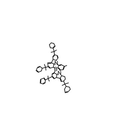 Cc1cc2c3c(c1)N1C4C=CC(C(C)(C)C5=CCCCC5)=CC4C4=CC(C(C)(C)C5C=CC=CC5)=CC(B3C3=CC(C(C)(C)c5ccccc5)=CC5C6=CC(C(C)(C)C7CC=CCC7)CCC6N2C35)C41